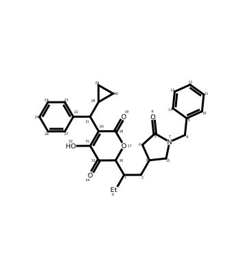 CCC(CC1CC(=O)N(Cc2ccccc2)C1)C1OC(=O)C(C(c2ccccc2)C2CC2)=C(O)C1=O